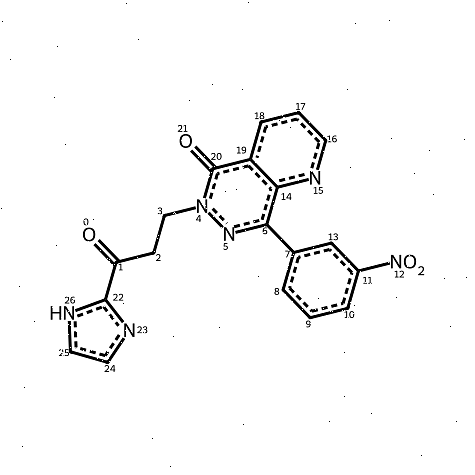 O=C(CCn1nc(-c2cccc([N+](=O)[O-])c2)c2ncccc2c1=O)c1ncc[nH]1